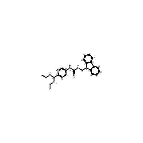 CCOC(OCC)c1ncc(NC(=O)OCC2c3ccccc3-c3ccccc32)cn1